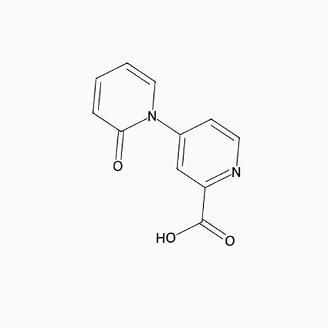 O=C(O)c1cc(-n2ccccc2=O)ccn1